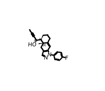 CC#C[C@H](O)[C@H]1CCCC2=Cc3c(cnn3-c3ccc(F)cc3)C[C@@]21C